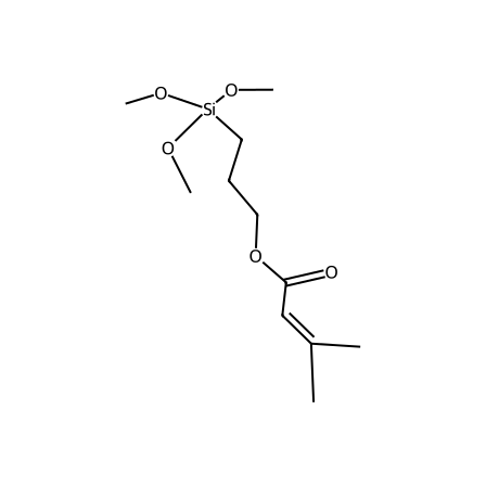 CO[Si](CCCOC(=O)C=C(C)C)(OC)OC